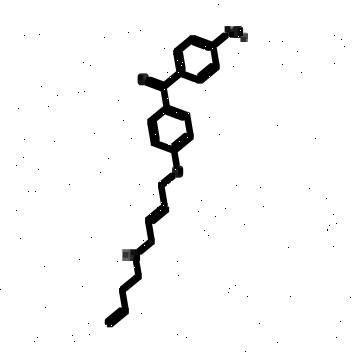 C=CCCNCC=CCOc1ccc(C(=O)c2ccc([N+](=O)[O-])cc2)cc1